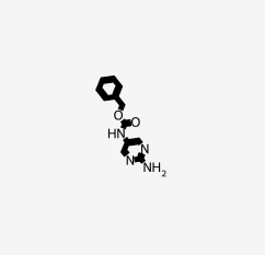 Nc1ncc(NC(=O)OCc2ccccc2)cn1